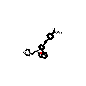 COC(=O)c1ccc(C#Cc2ccc(OCCN3CCOCC3)c(C34CC5CC(CC(C5)C3)C4)c2)cc1